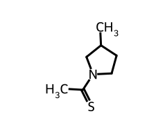 CC(=S)N1CCC(C)C1